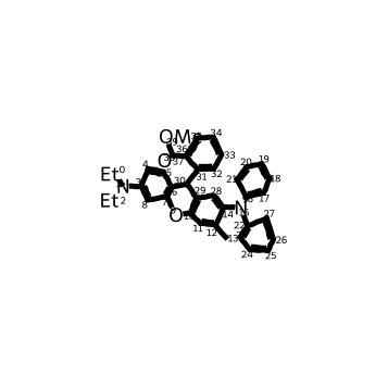 CCN(CC)c1ccc2c(c1)Oc1cc(C)c(N(c3ccccc3)c3ccccc3)cc1C2c1ccccc1C(=O)OC